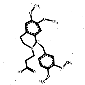 COc1ccc(C[C@@H]2c3cc(OC)c(OC)cc3CCN2CCC(=O)O)cc1OC